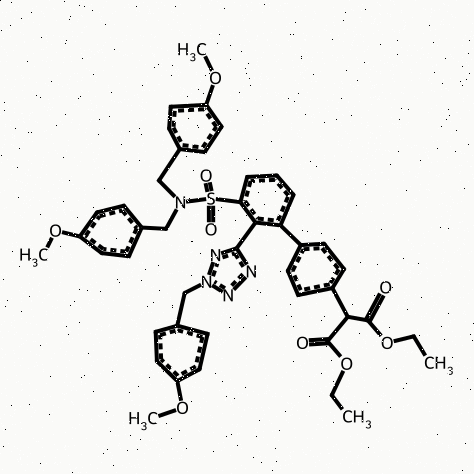 CCOC(=O)C(C(=O)OCC)c1ccc(-c2cccc(S(=O)(=O)N(Cc3ccc(OC)cc3)Cc3ccc(OC)cc3)c2-c2nnn(Cc3ccc(OC)cc3)n2)cc1